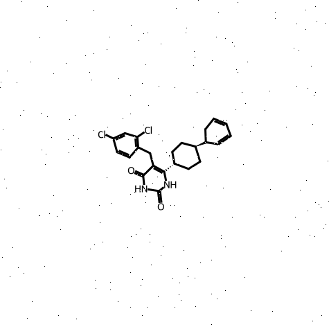 O=c1[nH]c(=O)c(Cc2ccc(Cl)cc2Cl)c([C@H]2CC[C@H](C3C=CC=CC3)CC2)[nH]1